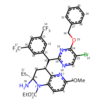 CCOC(=O)N1c2ccc(OC)nc2[C@H](C(c2cc(C(F)(F)F)cc(C(F)(F)F)c2)c2ncc(Br)c(OCc3ccccc3)n2)C[C@@]1(N)CC